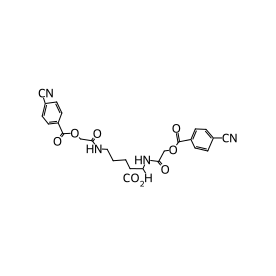 N#Cc1ccc(C(=O)OCC(=O)NCCCCC(NC(=O)COC(=O)c2ccc(C#N)cc2)C(=O)O)cc1